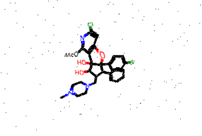 COc1nc(Cl)cc2c1C1(O)C(O)C(CN3CCN(C)CC3)C(c3ccccc3)C1(c1ccc(Br)cc1)O2